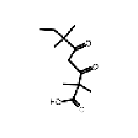 CCC(C)(C)C(=O)CC(=O)C(C)(C)C(=O)O